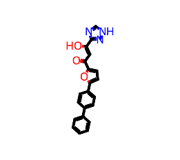 O=C(C=C(O)c1nc[nH]n1)c1ccc(-c2ccc(-c3ccccc3)cc2)o1